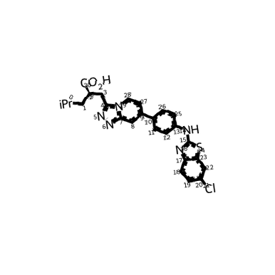 CC(C)C[C@H](Cc1nnc2cc(-c3ccc(Nc4nc5ccc(Cl)cc5s4)cc3)ccn12)C(=O)O